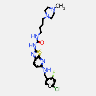 CN1CCN(CCCCNC(=O)Nc2nc3ccc(NCc4ccc(Cl)cc4F)nc3s2)CC1